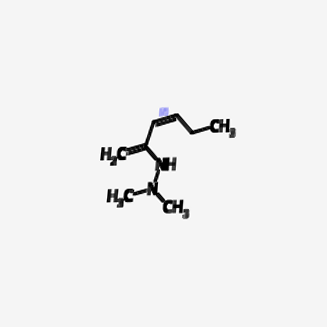 C=C(/C=C\CC)NN(C)C